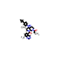 C=CC(=O)N1CCc2nn(-c3ccc(C4CCC4)cc3OC(C)=O)c3c2C(C1)N(C(=O)c1ccc(C(F)(F)F)c2ncncc12)CC3